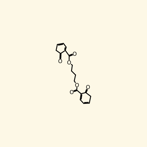 O=C1CC=CC=C1C(=O)OCCCCOC(=O)C1=CC=CCC1=O